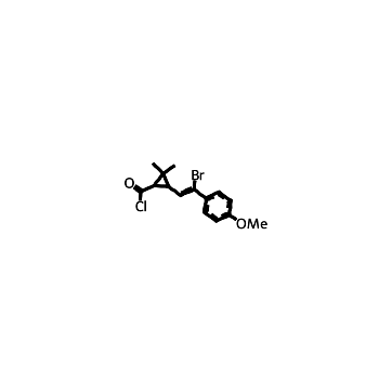 COc1ccc(/C(Br)=C/C2C(C(=O)Cl)C2(C)C)cc1